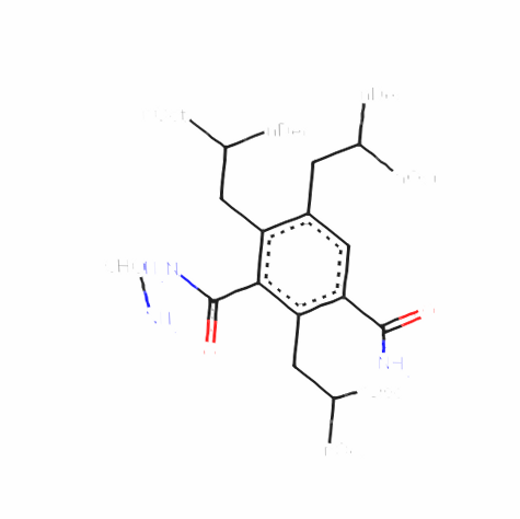 CCCCCCCCCCC(CCCCCCCC)Cc1cc(C(N)=O)c(CC(CCCCCCCC)CCCCCCCCCC)c(C(N)=O)c1CC(CCCCCCCC)CCCCCCCCCC.NC=O